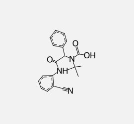 CC(C)(C)N(C(=O)O)C(C(=O)Nc1ccccc1C#N)c1ccccc1